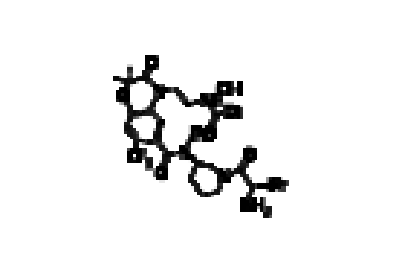 CCC(=O)NCCN1C(=O)C(C)(C)Oc2cc(C(F)(F)F)c(C(=O)N(C(C)C)[C@@H]3CCCN(C(=O)[C@H](N)C(C)C)C3)cc21.Cl